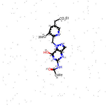 CCOC(=O)Cc1cnc(Cn2ncc3nc(NC(=O)OC)nc(O)c32)c(OC)c1